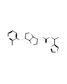 Cc1ncccc1O[C@H]1CO[C@H]2[C@@H]1OC[C@@H]2NC(=O)NC(C)c1c[nH]cn1